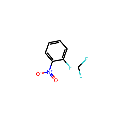 FCF.O=[N+]([O-])c1ccccc1F